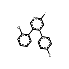 Fc1cc(-c2ccc(Cl)cc2)c(-c2ccccc2Cl)cn1